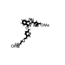 COCc1cc(-c2nnc3c4ccccc4c(OCc4ccc(CCOCCNC=O)cn4)nn23)no1